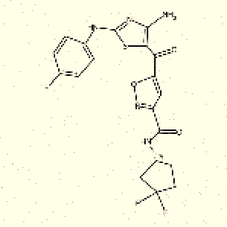 Nc1nc(Nc2ccc(F)cc2)sc1C(=O)c1cc(C(=O)N[C@@H]2CCC(F)(F)C2)no1